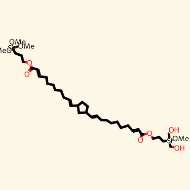 CO[Si](CO)(CO)CCCOC(=O)C=CCCCCCC/C=C/C1CCC(/C=C/CCCCCCC=CC(=O)OCCC[Si](OC)(OC)OC)C1